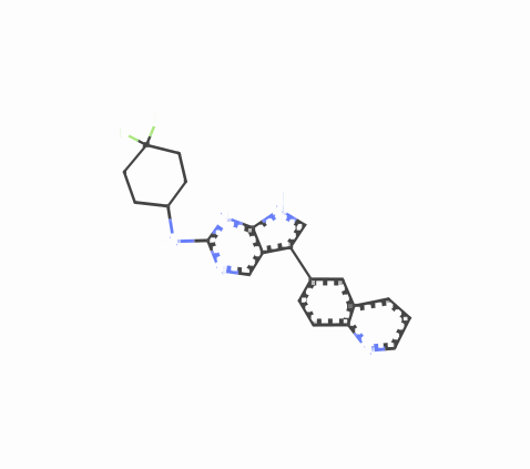 FC1(F)CCC(Nc2ncc3c(-c4ccc5ncccc5c4)c[nH]c3n2)CC1